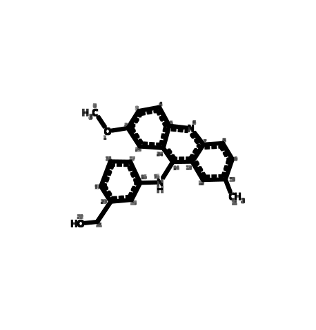 COc1ccc2nc3ccc(C)cc3c(Nc3cccc(CO)c3)c2c1